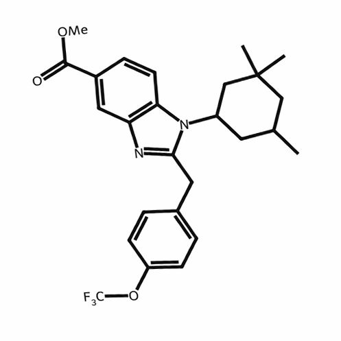 COC(=O)c1ccc2c(c1)nc(Cc1ccc(OC(F)(F)F)cc1)n2C1CC(C)CC(C)(C)C1